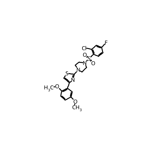 COc1ccc(OC)c(-c2csc(N3CCN(S(=O)(=O)c4ccc(F)cc4Cl)CC3)n2)c1